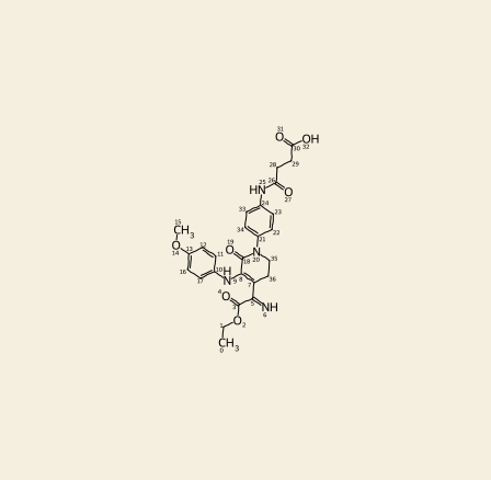 CCOC(=O)C(=N)C1=C(Nc2ccc(OC)cc2)C(=O)N(c2ccc(NC(=O)CCC(=O)O)cc2)CC1